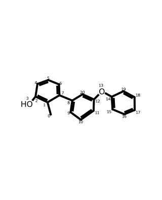 Cc1c(O)cccc1-c1cccc(Oc2ccccc2)c1